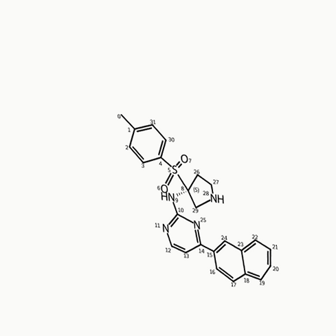 Cc1ccc(S(=O)(=O)[C@@]2(Nc3nccc(-c4ccc5ccccc5c4)n3)CCNC2)cc1